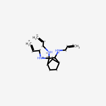 C=CCNC1C2CCC(C2)C1(NCC=C)NCC=C